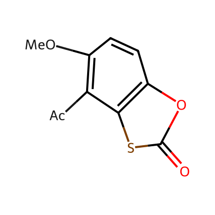 COc1ccc2oc(=O)sc2c1C(C)=O